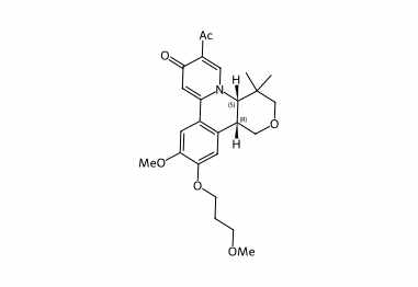 COCCCOc1cc2c(cc1OC)-c1cc(=O)c(C(C)=O)cn1[C@H]1[C@@H]2COCC1(C)C